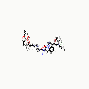 COC1=CCC[C@@H]([C@@H](C)/C=C(C)/C=C\C=C/C(=O)N[C@@H](Cc2ccccc2)C(=O)N/C=C\C[C@H](C/C=C(\C)Cl)OC(C)C)OC1=O